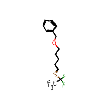 FC(F)(F)C(F)(F)SCCCCCOCc1ccccc1